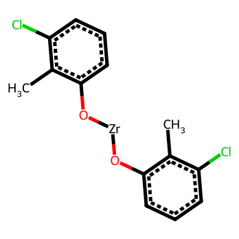 Cc1c(Cl)cccc1[O][Zr][O]c1cccc(Cl)c1C